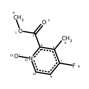 COC(=O)c1c(C)c(F)cc[n+]1[O-]